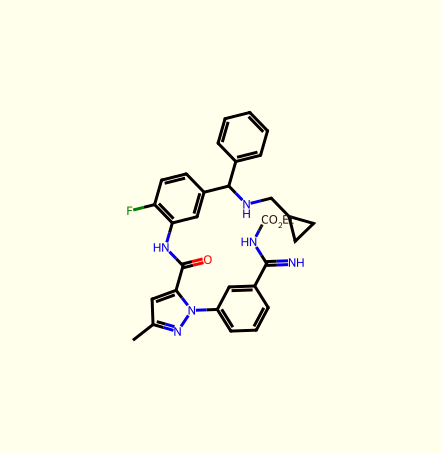 CCOC(=O)NC(=N)c1cccc(-n2nc(C)cc2C(=O)Nc2cc(C(NCC3CC3)c3ccccc3)ccc2F)c1